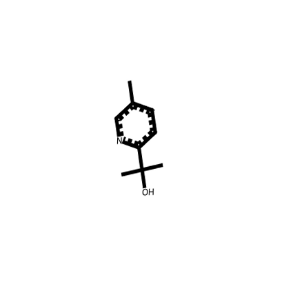 Cc1[c]cc(C(C)(C)O)nc1